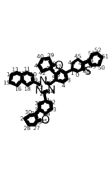 C1=C(c2ccc(-c3nc(-c4ccc5ccccc5c4)nc(-c4ccc5oc6ccccc6c5c4)n3)c3c2oc2ccccc23)CCc2c1sc1ccccc21